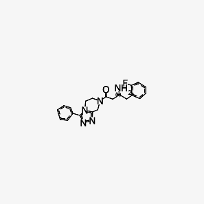 N[C@@H](CC(=O)N1CCn2c(nnc2-c2ccccc2)C1)Cc1ccccc1F